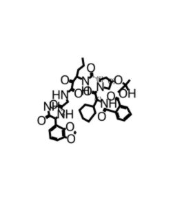 CCCC(NC(=O)[C@@H]1C[C@@H](OC(C)(C)C)CN1C(=O)[C@@H](NC(=O)c1ccccc1C(=O)O)C1CCCCC1)C(=O)C(=O)NCC(=O)NC(C(N)=O)c1cccc2c1OCO2